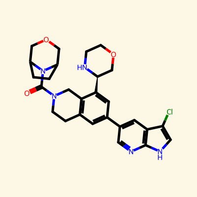 O=C(N1CCc2cc(-c3cnc4[nH]cc(Cl)c4c3)cc([C@@H]3COCCN3)c2C1)N1C2CCC1COC2